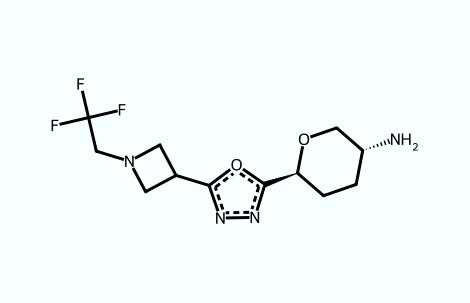 N[C@@H]1CC[C@@H](c2nnc(C3CN(CC(F)(F)F)C3)o2)OC1